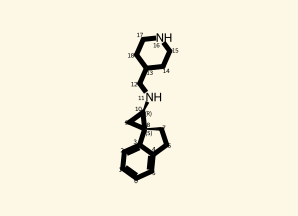 c1ccc2c(c1)CC[C@]21C[C@H]1NCC1CCNCC1